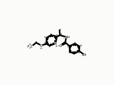 CCc1ccc(C(=O)NC(C)c2ccc(OCC(F)(F)F)cn2)cc1